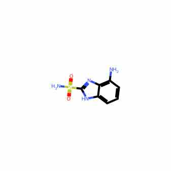 Nc1cccc2[nH]c(S(N)(=O)=O)nc12